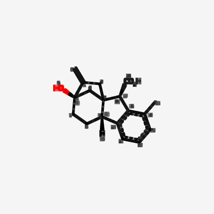 C=C1CC23C[C@]1(O)CC[C@H]2c1cccc(C)c1[C@@H]3C(=O)O